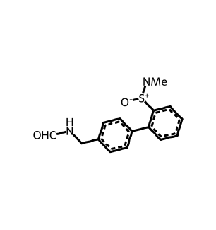 CN[S+]([O-])c1ccccc1-c1ccc(CNC=O)cc1